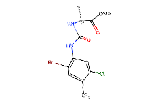 COC(=O)[C@@H](C)NC(=O)Nc1cc(Cl)c(C(F)(F)F)cc1Br